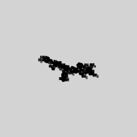 COc1nc2[nH]cc(F)c2cc1Oc1cc(N2CCC3(CC2)CC(N2C[C@@H](C)N(Cc4ccc(OC)c5oc(C)cc45)C[C@H]2c2ccccc2C(C)C)C3)ccc1C(=O)NS(=O)(=O)c1cnc(NCC2CCC(C)(O)CC2)c([N+](=O)[O-])c1